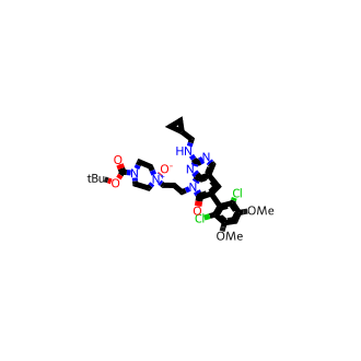 COc1cc(OC)c(Cl)c(-c2cc3cnc(NCC4CC4)nc3n(CCC[N+]3([O-])CCN(C(=O)OC(C)(C)C)CC3)c2=O)c1Cl